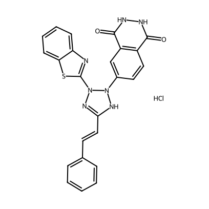 Cl.O=c1[nH][nH]c(=O)c2cc(N3NC(C=Cc4ccccc4)=NN3c3nc4ccccc4s3)ccc12